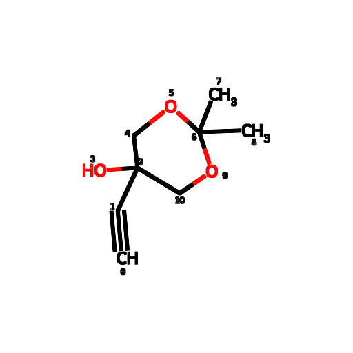 C#CC1(O)COC(C)(C)OC1